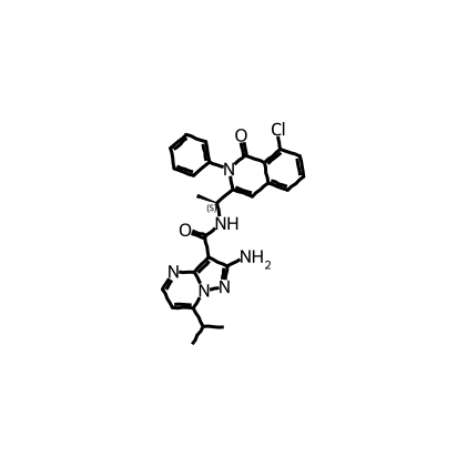 CC(C)c1ccnc2c(C(=O)N[C@@H](C)c3cc4cccc(Cl)c4c(=O)n3-c3ccccc3)c(N)nn12